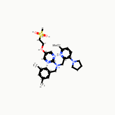 COc1ccc(N2CCCC2)c(CN(Cc2cc(C(F)(F)F)cc(C(F)(F)F)c2)c2ncc(OCCS(C)(=O)=O)cn2)n1